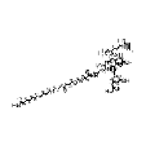 CN[C@@H](CCCNC(=N)N)C(=O)N[C@@H](CC(=O)O)C(=O)N[C@@H](CCCCN(CC(=O)O)CC(=O)O)C(=O)N[C@@H](CCCCNC(=O)COCCOCCNC(=O)CCCCCCCCCCCCCCC(=O)O)C(N)=O